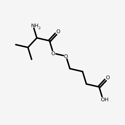 CC(C)C(N)C(=O)OOCCCC(=O)O